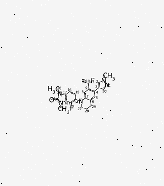 Cn1cc(-c2cc3c(cc2C(F)F)N(c2ccc4c(c2F)n(C)c(=O)n4C)CCC3)cn1